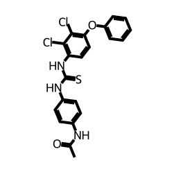 CC(=O)Nc1ccc(NC(=S)Nc2ccc(Oc3ccccc3)c(Cl)c2Cl)cc1